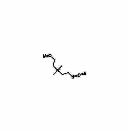 COCC[N+](C)(C)CCN=C=S